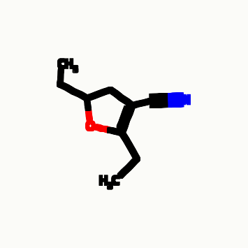 CCC1=C(C#N)CC(CC)O1